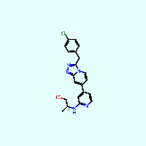 C[C@@H](CO)Nc1cc(-c2ccn3c(Cc4ccc(Cl)cc4)nnc3c2)ccn1